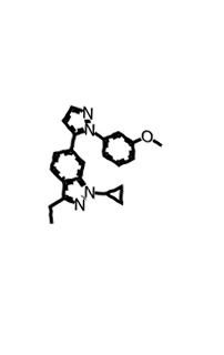 CCc1nn(C2CC2)c2cc(-c3ccnn3-c3cccc(OC)c3)ccc12